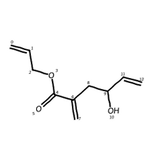 C=CCOC(=O)C(=C)CC(O)C=C